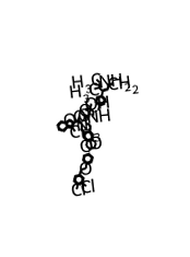 C=C/C=C(\C(C)=C(\C)N)c1ccc(C[C@H](NC(=O)[C@@H]2Cc3cc4c(cc3CN2C(=O)c2oc3ccccc3c2C)O[C@@H](c2ccc(OCc3ccc(Cl)c(Cl)c3)cc2)CO4)C(=O)O)cc1